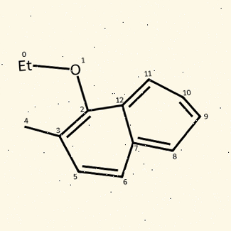 CCOc1c(C)ccc2ccccc12